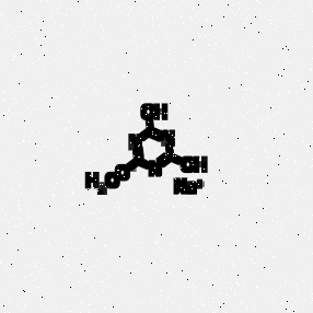 O.[Na+].[O-]c1nc(O)nc(O)n1